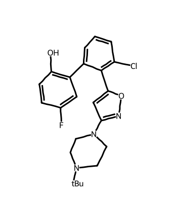 CC(C)(C)N1CCN(c2cc(-c3c(Cl)cccc3-c3cc(F)ccc3O)on2)CC1